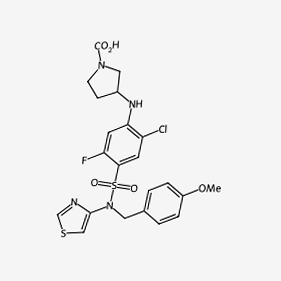 COc1ccc(CN(c2cscn2)S(=O)(=O)c2cc(Cl)c(NC3CCN(C(=O)O)C3)cc2F)cc1